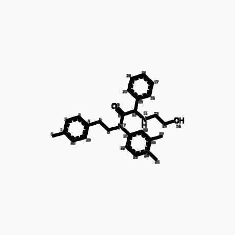 Cc1ccc(CCN(C(=O)C(NCCO)c2ccccc2)c2ccc(C)c(C)c2)cc1